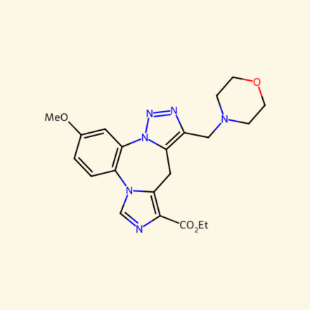 CCOC(=O)c1ncn2c1Cc1c(CN3CCOCC3)nnn1-c1cc(OC)ccc1-2